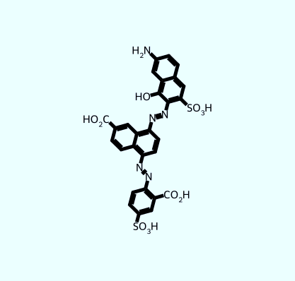 Nc1ccc2cc(S(=O)(=O)O)c(/N=N/c3ccc(/N=N/c4ccc(S(=O)(=O)O)cc4C(=O)O)c4ccc(C(=O)O)cc34)c(O)c2c1